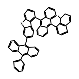 CC1CC=Cc2cccc(-c3c4ccccc4c(-c4cccc5sc6cc(-c7c8ccccc8c(-c8ccccc8)c8ccccc78)ccc6c45)c4ccccc34)c21